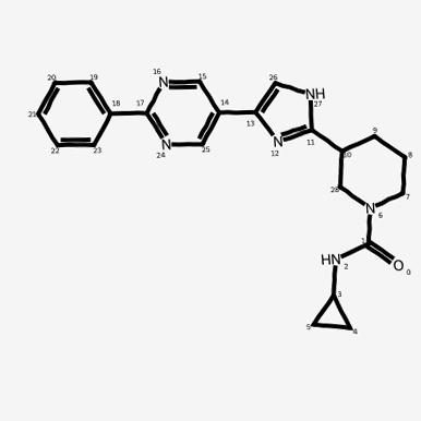 O=C(NC1CC1)N1CCCC(c2nc(-c3cnc(-c4ccccc4)nc3)c[nH]2)C1